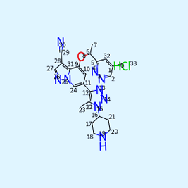 Cc1cnnc(C(C)Oc2cc(-c3nnn(C4CCNCC4)c3C)cn3ncc(C#N)c23)c1.Cl